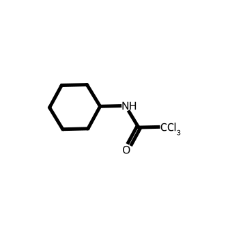 O=C(NC1CCCCC1)C(Cl)(Cl)Cl